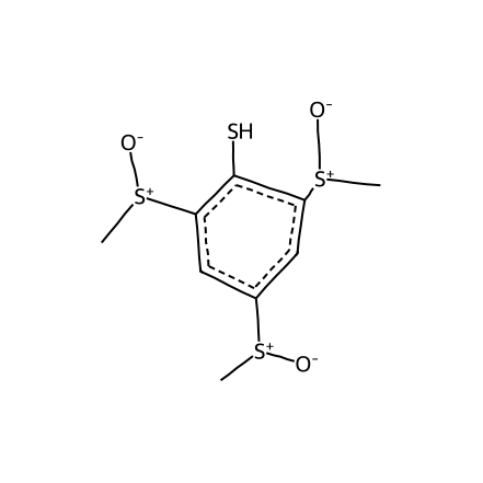 C[S+]([O-])c1cc([S+](C)[O-])c(S)c([S+](C)[O-])c1